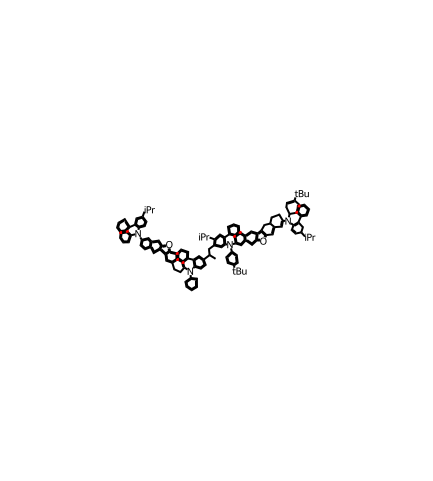 CC(C)c1ccc(N(c2ccccc2)c2ccc3cc4c(cc3c2)oc2cc3c(cc24)CCC(N(c2ccccc2)c2ccc(C(C)Cc4cc(N(c5ccc(C(C)(C)C)cc5)c5ccc6cc7c8c(oc7cc6c5)C=C5C=C(N(C6=C(c7ccccc7)CC(C(C)C)C=C6)C6C=CC(C(C)(C)C)=CC6)CCC5C8)c(-c5ccccc5)cc4C(C)C)cc2-c2ccccc2)=C3)c(-c2ccccc2)c1